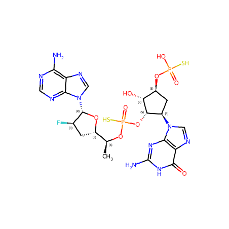 C[C@H](OP(=O)(S)O[C@@H]1[C@H](O)[C@@H](OP(=O)(O)S)C[C@H]1n1cnc2c(=O)[nH]c(N)nc21)[C@@H]1C[C@@H](F)[C@H](n2cnc3c(N)ncnc32)O1